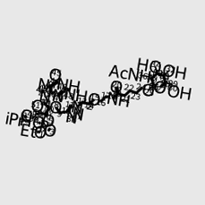 CCOP(=O)(O)O[C@H]1[C@@H](OCc2cn(CCOCCNC(=O)CCCCO[C@@H]3O[C@H](CO)[C@H](O)[C@H](O)[C@H]3NC(C)=O)nn2)[C@H](n2cnc3c(=O)[nH]c(N)nc32)O[C@@H]1COC(C)C